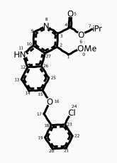 COCc1c(C(=O)OC(C)C)ncc2[nH]c3ccc(OCc4ccccc4Cl)cc3c12